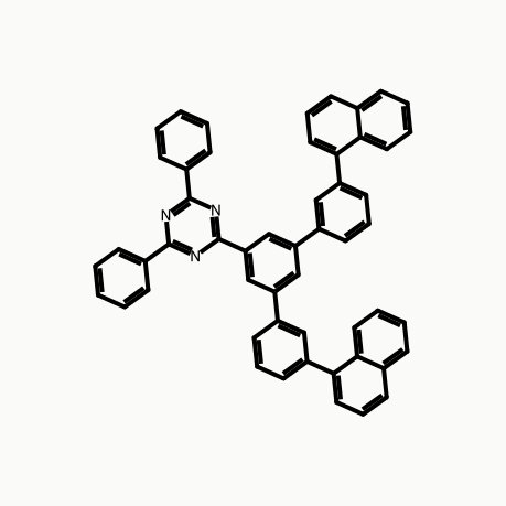 c1ccc(-c2nc(-c3ccccc3)nc(-c3cc(-c4cccc(-c5cccc6ccccc56)c4)cc(-c4cccc(-c5cccc6ccccc56)c4)c3)n2)cc1